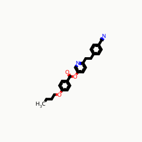 CCCCOc1ccc(C(=O)Oc2ccc(CCc3ccc(C#N)cc3)nc2)cc1